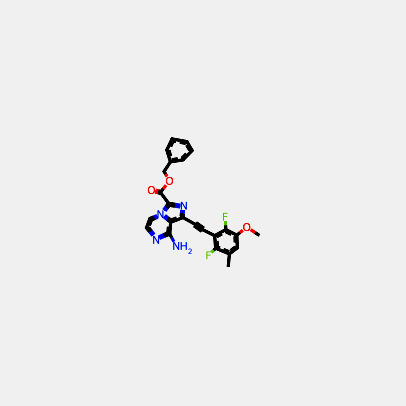 COc1cc(C)c(F)c(C#Cc2nc(C(=O)OCc3ccccc3)n3ccnc(N)c23)c1F